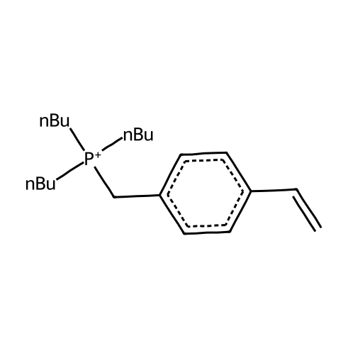 C=Cc1ccc(C[P+](CCCC)(CCCC)CCCC)cc1